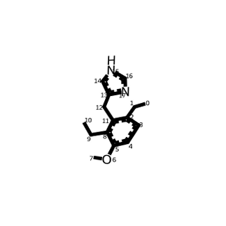 CCc1ccc(OC)c(CC)c1Cc1c[nH]cn1